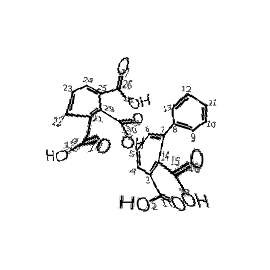 O=C(O)c1cccc(-c2ccccc2)c1C(=O)O.O=C(O)c1cccc(C(=O)O)c1C(=O)O